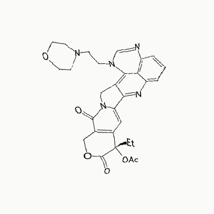 CC[C@@]1(OC(C)=O)C(=O)OCc2c1cc1n(c2=O)Cc2c-1nc1cccc3c1c2N(CCN1CCOCC1)C=N3